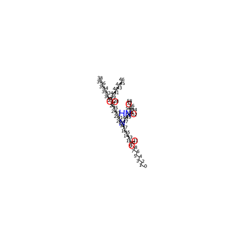 CCCCCCCCCOC(=O)CCCCCCCN(CCCCCCCC(=O)OC(CCCCCCCC)CCCCCCCC)CCCNC(=O)C(C)(C)COC